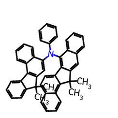 CC1(C)c2ccccc2-c2c1cc(N(c1ccccc1)c1c3c(cc4ccccc14)C(C)(C)c1c-3ccc3ccccc13)c1ccccc21